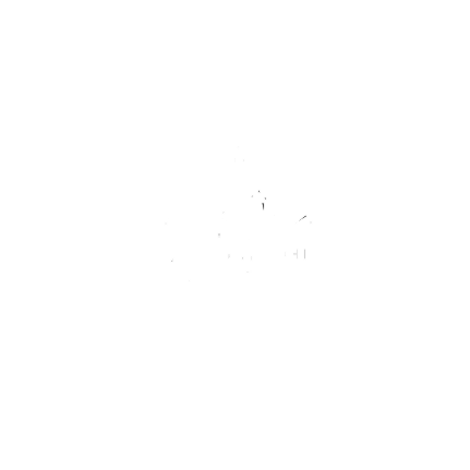 C#Cc1ccc(C#C)cc1.C[C@@H](O)[C@H](NC=O)C(=O)O